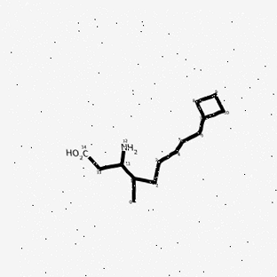 CC(CCCCCC1CCC1)C(N)CC(=O)O